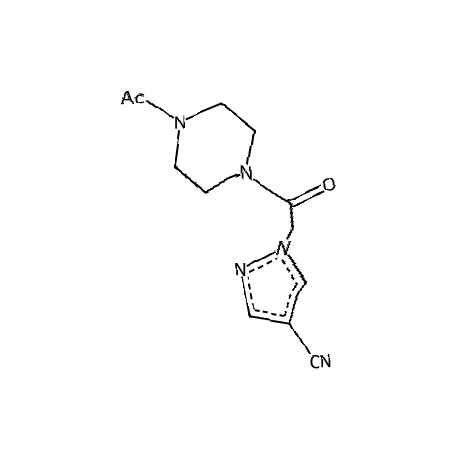 CC(=O)N1CCN(C(=O)n2cc(C#N)cn2)CC1